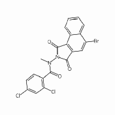 CN(C(=O)c1ccc(Cl)cc1Cl)N1C(=O)c2cc(Br)c3ccccc3c2C1=O